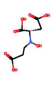 O=C(O)CCN(O)[C@@H](CC(=O)O)C(=O)O